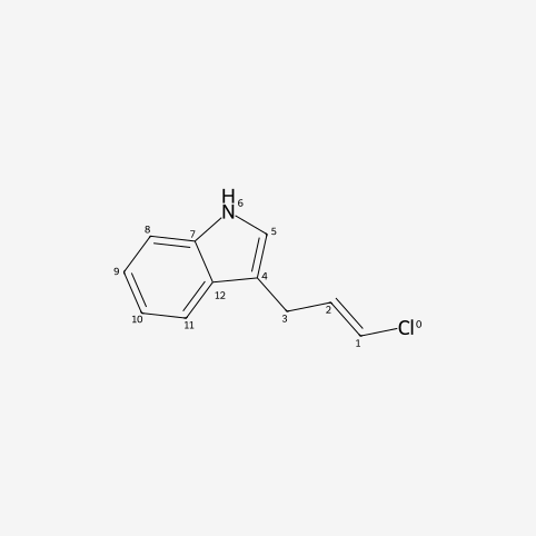 ClC=CCc1c[nH]c2ccccc12